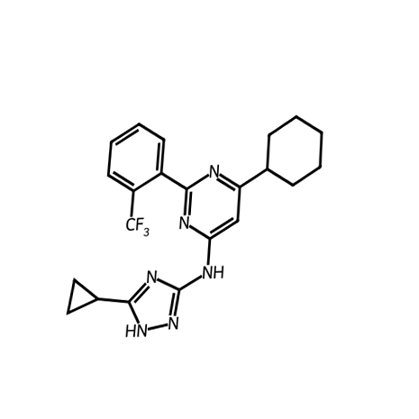 FC(F)(F)c1ccccc1-c1nc(Nc2n[nH]c(C3CC3)n2)cc(C2CCCCC2)n1